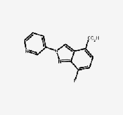 O=C(O)c1ccc(F)c2nn(-c3cccnc3)cc12